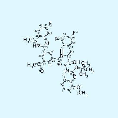 COc1cccc(CN(C[C@@H](O)[C@H](Cc2cc(F)cc(F)c2)NC(=O)c2cc(C(C)=O)cc(C(=O)NC(C)c3ccc(F)cc3)c2)C(=O)OC(C)(C)C)c1